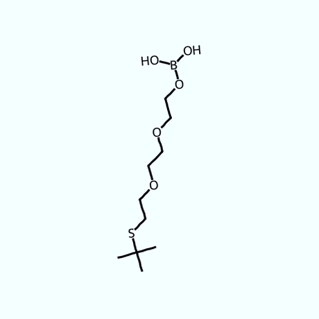 CC(C)(C)SCCOCCOCCOB(O)O